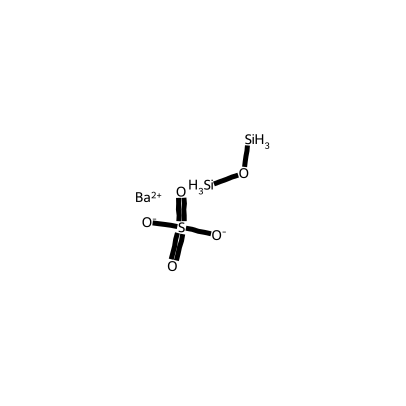 O=S(=O)([O-])[O-].[Ba+2].[SiH3]O[SiH3]